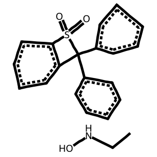 CCNO.O=S1(=O)c2ccccc2C1(c1ccccc1)c1ccccc1